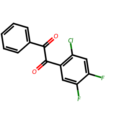 O=C(C(=O)c1cc(F)c(F)cc1Cl)c1ccccc1